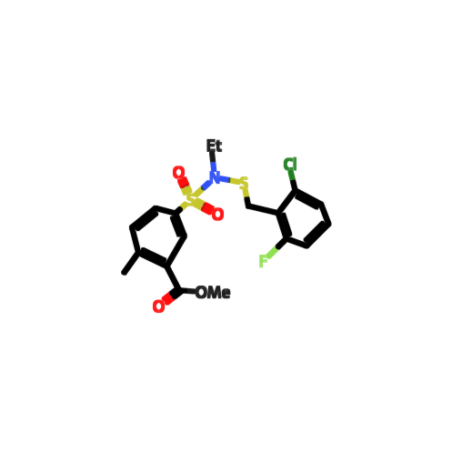 CCN(SCc1c(F)cccc1Cl)S(=O)(=O)c1ccc(C)c(C(=O)OC)c1